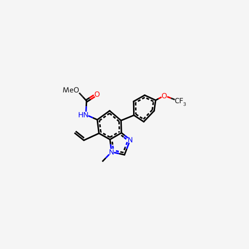 C=Cc1c(NC(=O)OC)cc(-c2ccc(OC(F)(F)F)cc2)c2ncn(C)c12